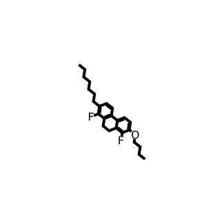 CCCCCCCc1ccc2c(c1F)CCc1c-2ccc(OCCCC)c1F